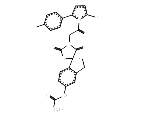 CNC(=O)Nc1ccc2c(c1)CC[C@@]21OC(=O)N(CC(=O)n2c(-c3ccc(F)cc3)ccc2C(C)C)C1=O